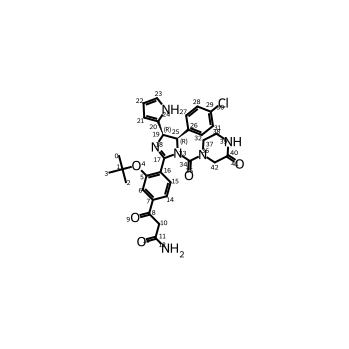 CC(C)(C)Oc1cc(C(=O)CC(N)=O)ccc1C1=N[C@@H](c2ccc[nH]2)[C@@H](c2ccc(Cl)cc2)N1C(=O)N1CCNC(=O)C1